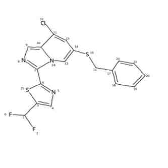 FC(F)c1cnc(-c2ncc3c(Cl)cc(SCc4ccccc4)cn23)s1